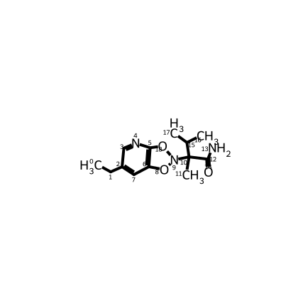 CCc1cnc2c(c1)ON(C(C)(C(N)=O)C(C)C)O2